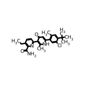 CCc1ccc(-c2c(C)[nH]c(-c3cc(Cl)c(C(C)(C)C)cc3C)cc2=O)nc1C(N)=O